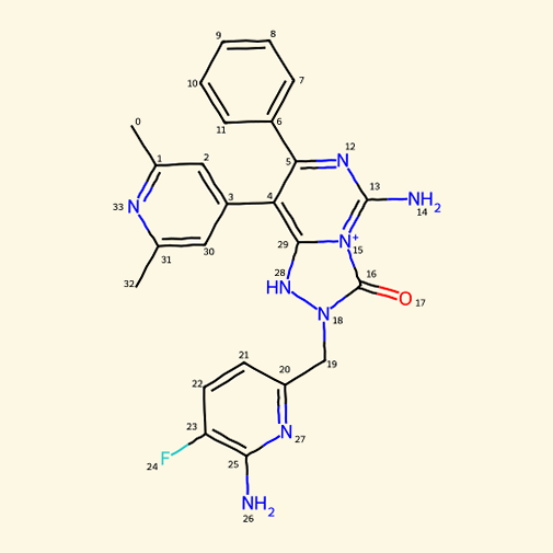 Cc1cc(-c2c(-c3ccccc3)nc(N)[n+]3c(=O)n(Cc4ccc(F)c(N)n4)[nH]c23)cc(C)n1